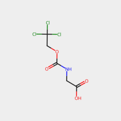 O=C(O)CNC(=O)OCC(Cl)(Cl)Cl